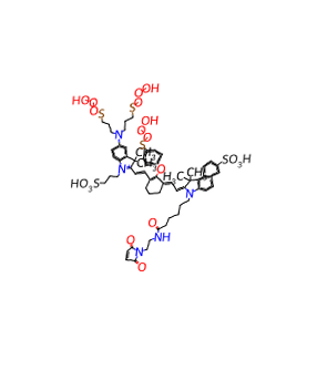 CC1(C)C(/C=C/C2=C(Oc3ccc(SOOO)cc3)C(=C/C=C3/N(CCCCCC(=O)NCCN4C(=O)C=CC4=O)c4ccc5cc(S(=O)(=O)O)ccc5c4C3(C)C)/CCC2)=[N+](CCCS(=O)(=O)O)c2ccc(N(CCCSOOO)CCCSOOO)cc21